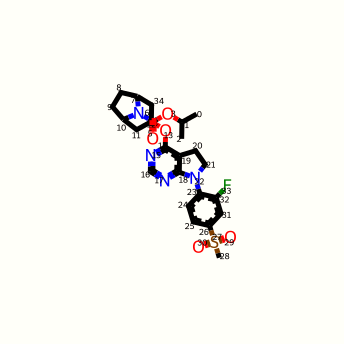 CC(C)OC(=O)N1C2CCC1CC(Oc1ncnc3c1CCN3c1ccc(S(C)(=O)=O)cc1F)C2